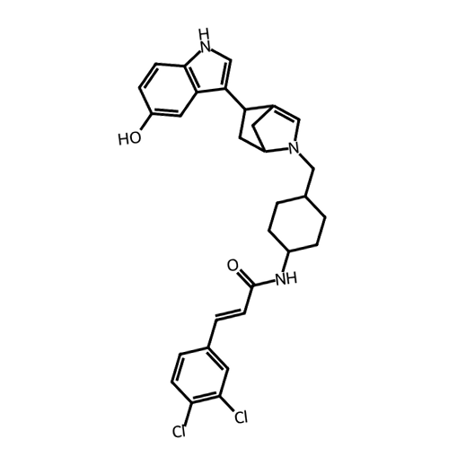 O=C(/C=C/c1ccc(Cl)c(Cl)c1)NC1CCC(CN2C=C3CC2CC3c2c[nH]c3ccc(O)cc23)CC1